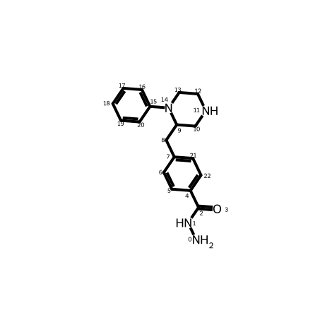 NNC(=O)c1ccc(CC2CNCCN2c2ccccc2)cc1